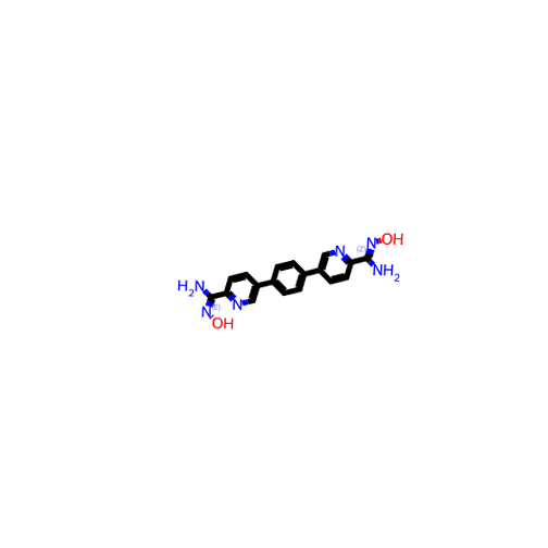 N/C(=N\O)c1ccc(-c2ccc(-c3ccc(/C(N)=N\O)nc3)cc2)cn1